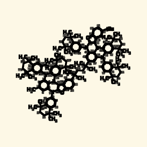 Cc1cc2c3c(c1)N(c1ccc4c(c1)C(C)(C)CCC4(C)C)c1oc4ccc(C(C)(C)CCC(C)(C)c5cc6c7c(c5)N(c5ccc8c(c5)C(C)(C)CCC8(C)C)c5oc8ccc(C(C)(C)C)cc8c5B7c5cc7c(cc5N6c5ccc6c(c5)C(C)(C)CCC6(C)C)C(C)(C)CCC7(C)C)cc4c1B3c1cc3c(cc1N2c1cc2c(cc1C)C(C)(C)CCC2(C)C)C(C)(C)CCC3(C)C